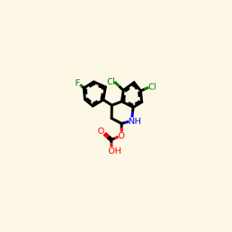 O=C(O)OC1CC(c2ccc(F)cc2)c2c(Cl)cc(Cl)cc2N1